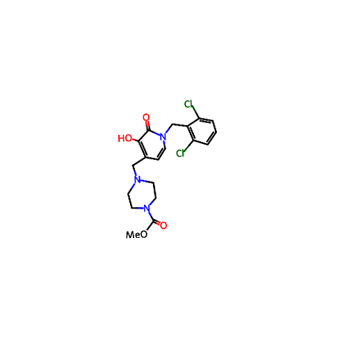 COC(=O)N1CCN(Cc2ccn(Cc3c(Cl)cccc3Cl)c(=O)c2O)CC1